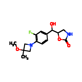 COC1(C)CN(c2ccc(C(O)C3CNC(=O)O3)cc2F)C1